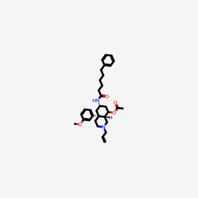 C=CCN1CC[C@@]2(c3cccc(OC)c3)C[C@H](NC(=O)CCCCCc3ccccc3)CC(OC(C)=O)[C@@H]2C1